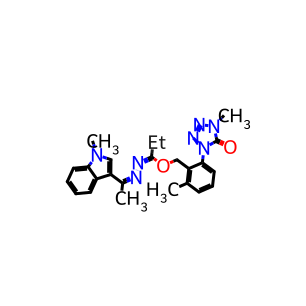 CCC(=N/N=C(/C)c1cn(C)c2ccccc12)OCc1c(C)cccc1-n1nnn(C)c1=O